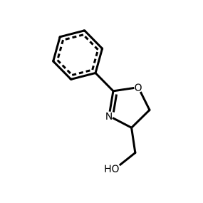 OCC1COC(c2ccccc2)=N1